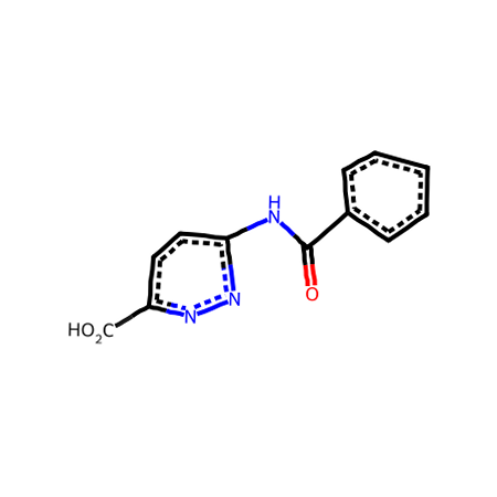 O=C(Nc1ccc(C(=O)O)nn1)c1ccccc1